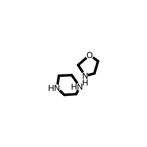 C1CNCCN1.C1COCN1